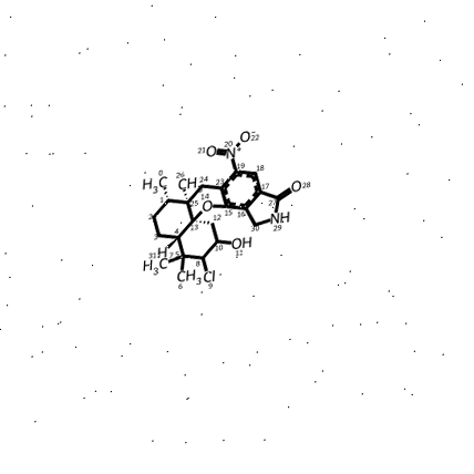 C[C@H]1CC[C@H]2C(C)(C)C(Cl)C(O)C[C@]23Oc2c4c(cc([N+](=O)[O-])c2C[C@]13C)C(=O)NC4